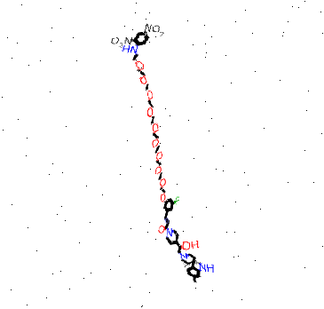 Cc1ccc2c(c1)NC[C@]21CCN(CC(O)C2CCN(C(=O)/C=C/c3cc(F)cc(OCCOCCOCCOCCOCCOCCOCCOCCOCCOCCNc4ccc([N+](=O)[O-])cc4[N+](=O)[O-])c3)CC2)C[C@H]1C